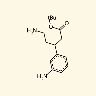 CC(C)(C)OC(=O)CC(CCN)c1cccc(N)c1